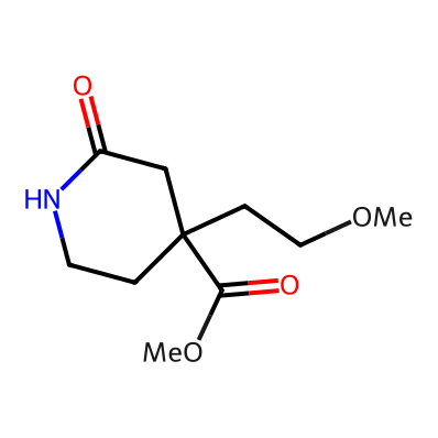 COCCC1(C(=O)OC)CCNC(=O)C1